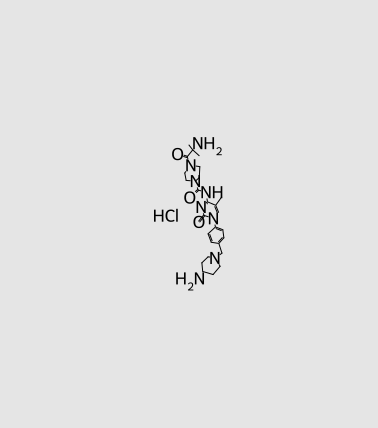 Cc1cn(-c2ccc(CN3CCC(N)CC3)cc2)c(=O)nc1NC(=O)N1CCN(C(=O)C(C)(C)N)CC1.Cl